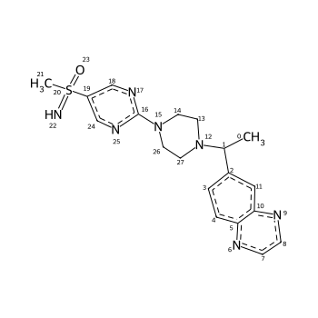 CC(c1ccc2nccnc2c1)N1CCN(c2ncc(S(C)(=N)=O)cn2)CC1